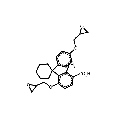 Cc1c(C(=O)O)ccc(OCC2CO2)c1C1(c2ccc(OCC3CO3)cc2)CCCCC1